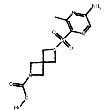 Cc1nc(N)cnc1S(=O)(=O)N1CC2(CN(C(=O)OC(C)(C)C)C2)C1